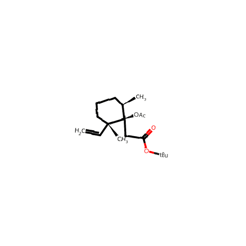 C=C[C@]1(C)CCC[C@@H](C)[C@@]1(CC(=O)OC(C)(C)C)OC(C)=O